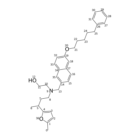 Cc1ccc(C(C)CCN(CCO)Cc2ccc3cc(OCCCCCc4ccccc4)ccc3c2)o1